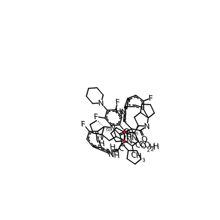 CC1C[C@H](C2CC3CCCC34c3cc5nc([nH]c5cc3F)C(NC(=O)O)(C3CCCC3)C(=O)N24)N(c2cc(F)c(N3CCCCC3)c(F)c2)[C@]1(C)C1C[C@@H]2CCC[C@@]23c2cc4nc([nH]c4cc2F)[C@@](NC(=O)O)(C2CCCC2)C(=O)N13